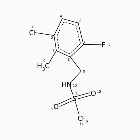 Cc1c(Cl)ccc(F)c1CNS(=O)(=O)C(F)(F)F